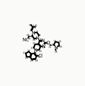 CC(F)=CN1CCN(c2nc(OC[C@H]3CCCN3C)nc3c2CCN(c2c(Cl)ccc4c2CCC4)C3)C[C@H]1CC#N